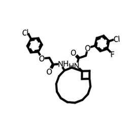 O=C(COc1ccc(Cl)cc1)NC1CCCCCCCCCC2CC(NC(=O)COc3ccc(Cl)c(F)c3)(C2)C1